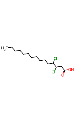 CCCCCCCCCCCC(Cl)C(Cl)CC(=O)O